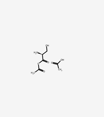 CC(=O)O.CC(=O)OC(=O)[C@@H](N)CO